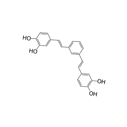 Oc1ccc(C=Cc2cccc(C=Cc3ccc(O)c(O)c3)c2)cc1O